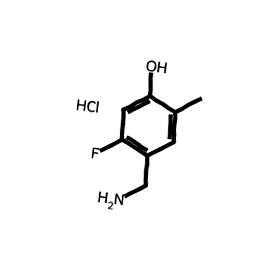 Cc1cc(CN)c(F)cc1O.Cl